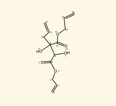 C=CCOC(=O)C(O)C(O)(CC=C)C(=O)OCC=C